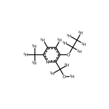 [2H]OC([2H])([2H])c1nc(C([2H])([2H])[2H])c([2H])c([2H])c1OC([2H])([2H])C([2H])([2H])[2H]